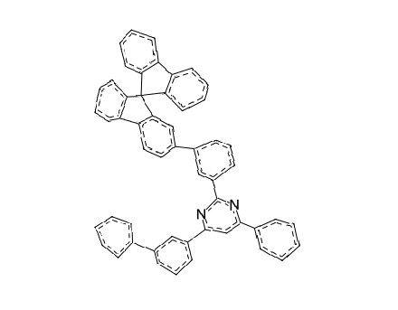 c1ccc(-c2cccc(-c3cc(-c4ccccc4)nc(-c4cccc(-c5ccc6c(c5)C5(c7ccccc7-c7ccccc75)c5ccccc5-6)c4)n3)c2)cc1